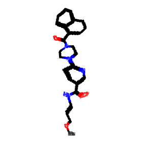 CCCCOCCCNC(=O)c1ccc(N2CCN(C(=O)c3cccc4ccccc34)CC2)nc1